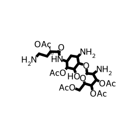 CC(=O)OCC1OC(OC2C(N)CC(NC(=O)[C@H](CCN)OC(C)=O)C(OC(C)=O)C2O)C(N)C(OC(C)=O)C1OC(C)=O